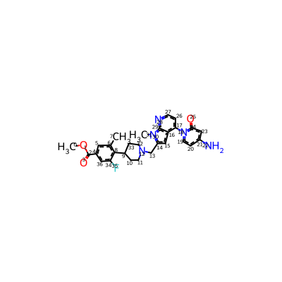 COC(=O)c1cc(C)c(C2CCN(Cc3cc4c(-n5ccc(N)cc5=O)ccnc4n3C)CC2)c(F)c1